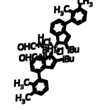 CCC(C)C1=Cc2c(-c3cccc(C)c3C)cccc2[CH]1[Hf]([Cl])([Cl])([B](NC=O)NC=O)[CH]1C(C(C)CC)=Cc2c(-c3cccc(C)c3C)cccc21